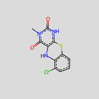 Cn1c(=O)[nH]c2c(c1=O)Nc1c(Cl)cccc1S2